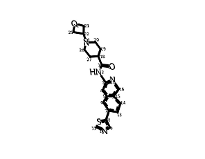 O=C(Nc1cc2cc(-c3cncs3)ccc2cn1)C1CCN(C2COC2)CC1